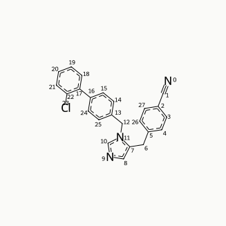 N#Cc1ccc(Cc2cncn2Cc2ccc(-c3ccccc3Cl)cc2)cc1